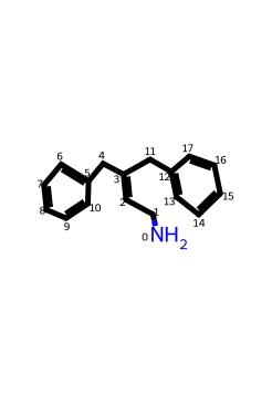 NCC=C(Cc1ccccc1)Cc1ccccc1